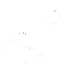 O=[SH](=O)NC1CCCCC1NCCCC1=CCC=CC1